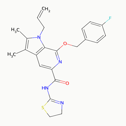 C=CCn1c(C)c(C)c2cc(C(=O)NC3=NCCS3)nc(OCc3ccc(F)cc3)c21